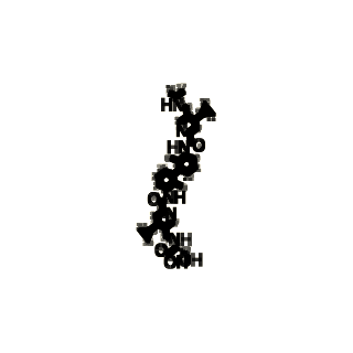 Cc1c(NC(=O)c2cc(C3CC3)c(CNC(C)C)cn2)cccc1-c1cccc(NC(=O)c2cc(C3CC3)c(CN[C@H](CO)C(=O)O)cn2)c1C